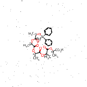 C[C@H](O[Si](c1ccccc1)(c1ccccc1)C(C)(C)C)C(=O)O[C@H](C)C(=O)O[C@H](C)C(=O)O[C@H](C)C(=O)O[C@H](C)C(=O)O